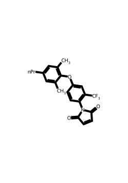 CCCc1cc(C)c(Oc2ccc(N3C(=O)C=CC3=O)c(C(F)(F)F)c2)c(C)c1